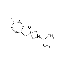 CC(C)N1CC2(Cc3ccc(F)nc3O2)C1